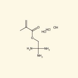 C=C(C)C(=O)OCC(N)(N)N.Cl.Cl.Cl